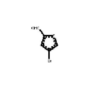 O=Cc1[c]c(Br)cs1